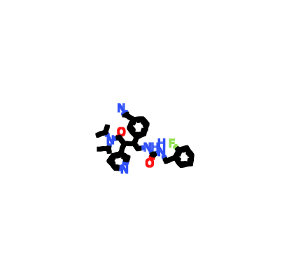 CC(C)N(C(=O)C(c1cccnc1)C(CNC(=O)NCc1ccccc1F)c1cccc(C#N)c1)C(C)C